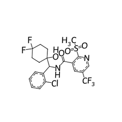 CS(=O)(=O)c1ncc(C(F)(F)F)cc1C(=O)NC(c1ccccc1Cl)C1(O)CCC(F)(F)CC1